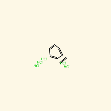 C=C.Cl.Cl.Cl.Cl.Cl.c1ccccc1